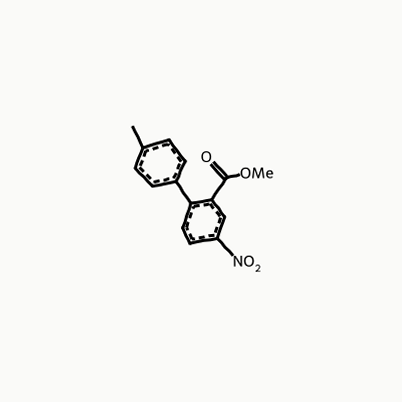 COC(=O)c1cc([N+](=O)[O-])ccc1-c1ccc(C)cc1